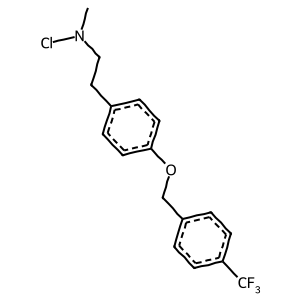 CN(Cl)CCc1ccc(OCc2ccc(C(F)(F)F)cc2)cc1